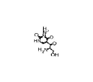 NC(CO)C(=O)c1c[nH]c(=O)n(N)c1=O